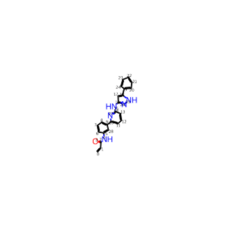 C=CC(=O)Nc1cccc(-c2cccc(Nc3cc(-c4ccccc4)[nH]n3)n2)c1